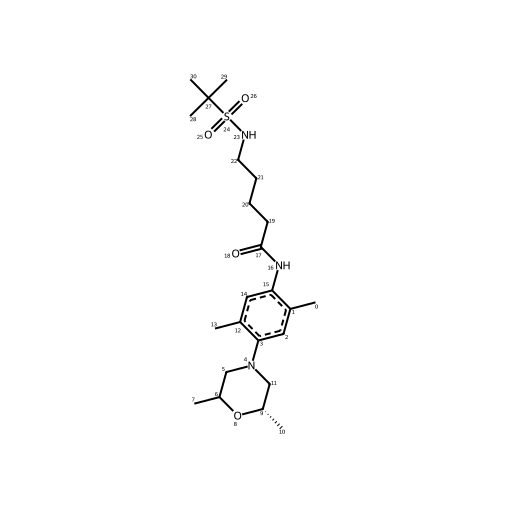 Cc1cc(N2CC(C)O[C@@H](C)C2)c(C)cc1NC(=O)CCCCNS(=O)(=O)C(C)(C)C